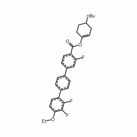 CCCCC1CC=C(OC(=O)c2ccc(-c3ccc(-c4ccc(OCC)c(F)c4F)cc3)cc2F)CC1